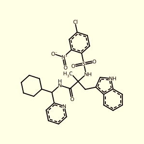 CC(Cc1c[nH]c2ccccc12)(NS(=O)(=O)c1ccc(Cl)cc1[N+](=O)[O-])C(=O)NC(c1ccccn1)C1CCCCC1